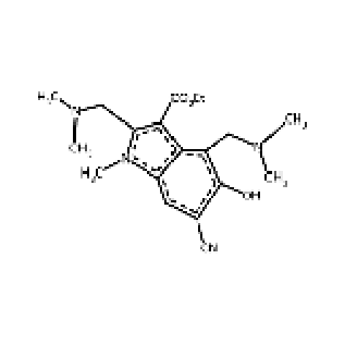 CCOC(=O)c1c(CN(C)C)n(C)c2cc(C#N)c(O)c(CN(C)C)c12